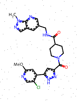 COc1cc(-c2cc(C(=O)N3CCC(C(=O)NCc4cnc5c(cnn5C)c4)CC3)n[nH]2)c(Cl)cn1